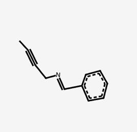 CC#CCN=Cc1ccccc1